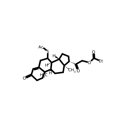 CCC(=O)OCC(=O)[C@H]1CC[C@H]2[C@@H]3C(SC(C)=O)CC4=CC(=O)CC[C@]4(C)[C@H]3CC[C@]12C